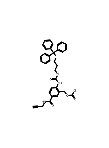 C#CCNC(=O)c1ccc(NC(=O)OCCCSC(c2ccccc2)(c2ccccc2)c2ccccc2)c(COC(=O)Cl)c1